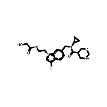 O=C(CO)NCCn1cc(Cl)c2ccc(CN(C(=O)C3CNCOC3)C3CC3)cc21